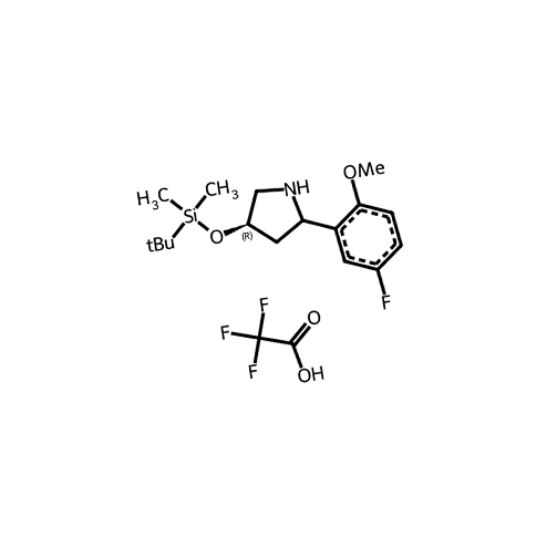 COc1ccc(F)cc1C1C[C@@H](O[Si](C)(C)C(C)(C)C)CN1.O=C(O)C(F)(F)F